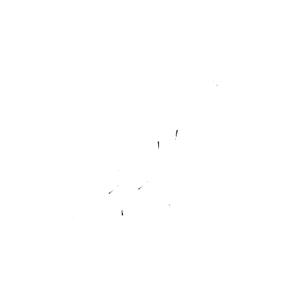 CC[C@H]1[C@@H](O)[C@@H]2[C@H](CC[C@]3(C)[C@@H](CCOC(=O)N4CCC4)CC[C@@H]23)[C@@]2(C)CC[C@@H](O)C[C@@H]12